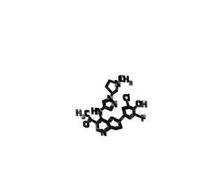 CC(=O)c1cnc2ccc(-c3cc(F)c(O)c(Cl)c3)cc2c1Nc1cnn(C2CCN(C)C2)c1